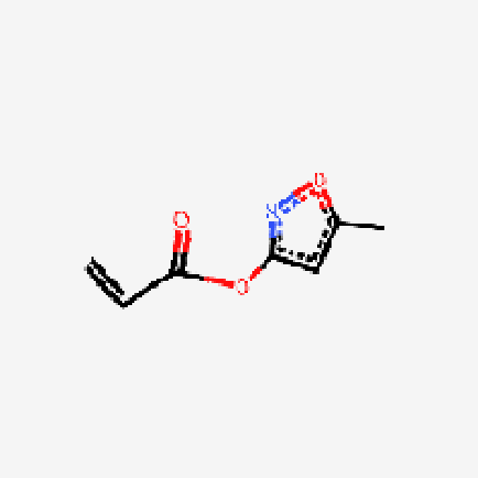 C=CC(=O)Oc1cc(C)on1